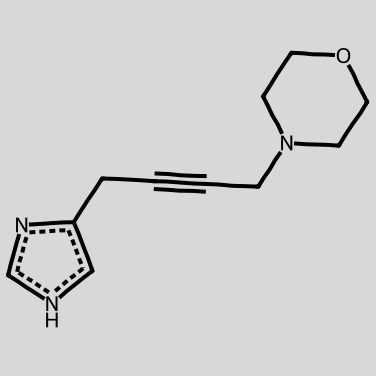 C(#CCN1CCOCC1)Cc1c[nH]cn1